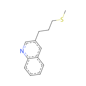 CSCCCc1cnc2ccccc2c1